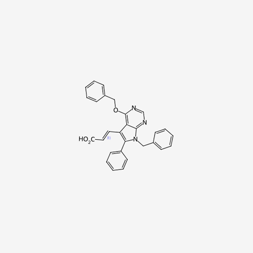 O=C(O)/C=C/c1c(-c2ccccc2)n(Cc2ccccc2)c2ncnc(OCc3ccccc3)c12